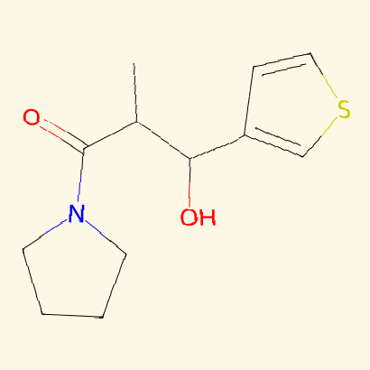 CC(C(=O)N1CCCC1)C(O)c1ccsc1